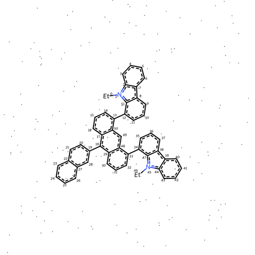 CCn1c2ccccc2c2cccc(-c3cccc4c(-c5ccc6ccccc6c5)c5cccc(-c6cccc7c8ccccc8n(CC)c67)c5cc34)c21